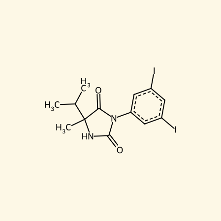 CC(C)C1(C)NC(=O)N(c2cc(I)cc(I)c2)C1=O